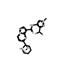 Cn1cc(NC(=O)c2cnn3ccc(N4CC5CCC4CN5)nc23)c(C(F)F)n1